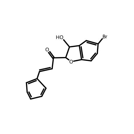 O=C(/C=C/c1ccccc1)C1Oc2ccc(Br)cc2C1O